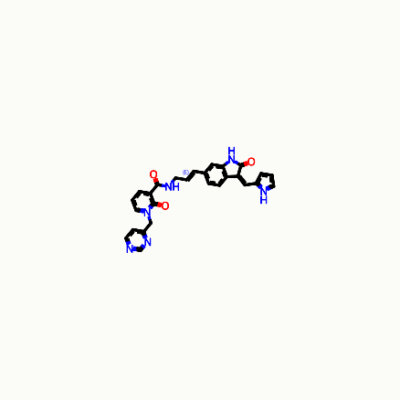 O=C1Nc2cc(/C=C/CNC(=O)c3cccn(Cc4ccncn4)c3=O)ccc2C1=Cc1ccc[nH]1